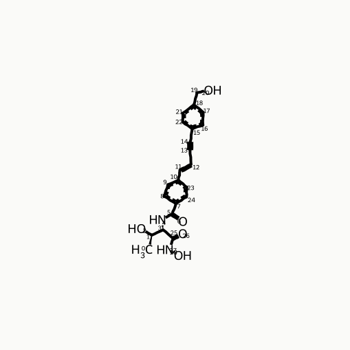 C[C@@H](O)[C@H](NC(=O)c1ccc(/C=C/C#Cc2ccc(CO)cc2)cc1)C(=O)NO